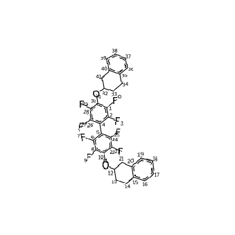 Fc1c(F)c(-c2c(F)c(F)c(OC3CCc4ccccc4C3)c(F)c2F)c(F)c(F)c1OC1CCc2ccccc2C1